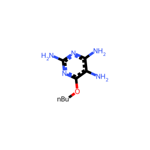 CCCCOc1nc(N)nc(N)c1N